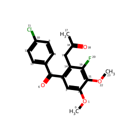 COc1cc(C(=O)c2ccc(Cl)cc2)c(CC(C)=O)c(F)c1OC